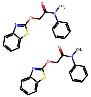 CN(C(=O)COc1nc2ccccc2s1)c1ccccc1.CN(C(=O)COc1nc2ccccc2s1)c1ccccc1